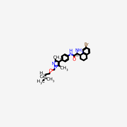 Cc1nn(COCC[Si](C)(C)C)c(C)c1-c1ccc(NC(=O)[C@@H](N)C2CCCc3ccc(Br)cc32)cc1